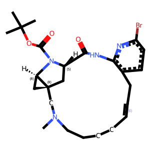 CN1CCCC/C=C/Cc2ccc(Br)nc2NC(=O)[C@@H]2C[C@]3(C[C@H]3N2C(=O)OC(C)(C)C)C1